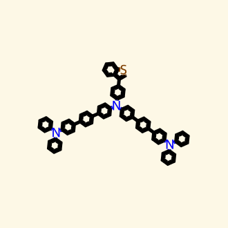 c1ccc(N(c2ccccc2)c2ccc(-c3ccc(-c4ccc(N(c5ccc(-c6ccc(-c7ccc(N(c8ccccc8)c8ccccc8)cc7)cc6)cc5)c5ccc(-c6csc7ccccc67)cc5)cc4)cc3)cc2)cc1